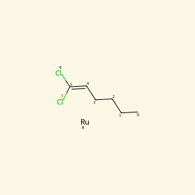 CCCCC=C(Cl)Cl.[Ru]